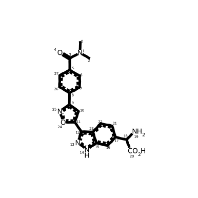 CN(C)C(=O)c1ccc(-c2cc(-c3n[nH]c4cc(C(N)C(=O)O)ccc34)on2)cc1